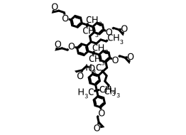 CCCCC(Cc1cc(OCC2CO2)ccc1C(C)(C)c1ccc(OCC2CO2)cc1)c1cc(OCC2CO2)ccc1C(C)(C)c1ccc(OCC2CO2)c(CC(C)(CCCC)c2cc(C(C)(C)c3ccc(OCC4CO4)cc3)ccc2OCC2CO2)c1